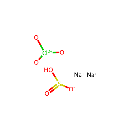 O=S([O-])O.[Na+].[Na+].[O-][Cl+2]([O-])[O-]